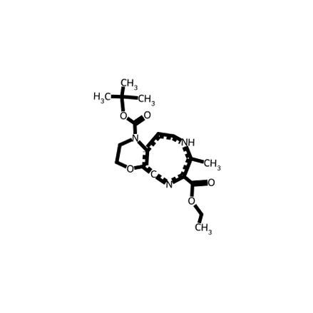 CCOC(=O)c1ncc2c(cc[nH]c1C)N(C(=O)OC(C)(C)C)CCO2